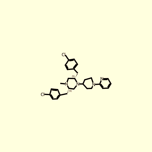 CN1C[C@H](Cc2ccc(Cl)cc2)N(C2CCN(c3ccccn3)CC2)C[C@@H]1Cc1ccc(Cl)cc1